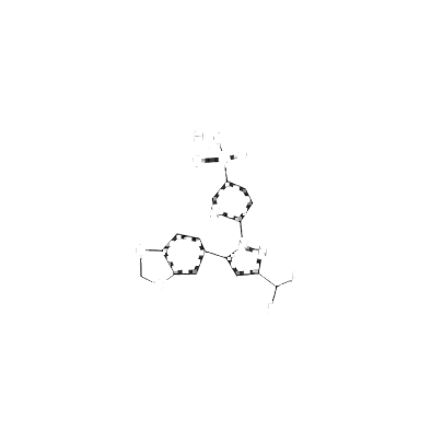 CS(=O)(=O)c1ccc(-n2nc(C(F)F)cc2-c2ccc3c(c2)OCO3)nc1